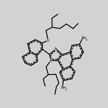 Bc1ccc2c3ccc(B)cc3c3c(nc(-c4c(OCC(CC)CCCC)ccc5ccccc45)n3CC(CC)CCCC)c2c1